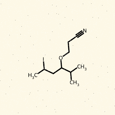 CC(I)CC(OCCC#N)C(C)C